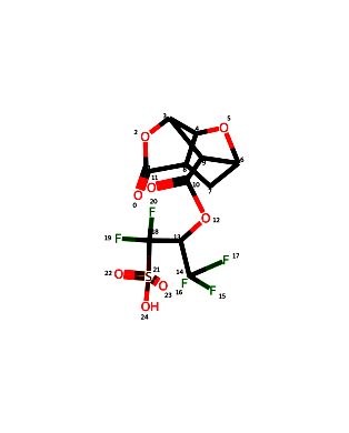 O=C1OC2C3OC(CC13)C2C(=O)OC(C(F)(F)F)C(F)(F)S(=O)(=O)O